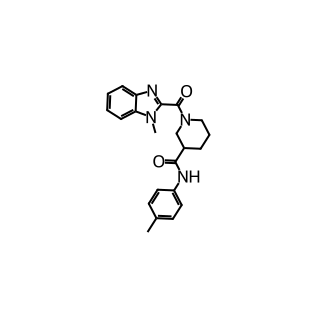 Cc1ccc(NC(=O)C2CCCN(C(=O)c3nc4ccccc4n3C)C2)cc1